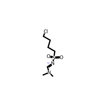 CN(C)/C=N/S(=O)(=O)CCCCCl